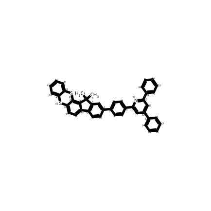 CC1(C)c2cc(-c3ccc(-c4cc(-c5ccccc5)cc(-c5ccccc5)n4)cc3)ccc2-c2ccc3c(c21)Sc1ccccc1S3